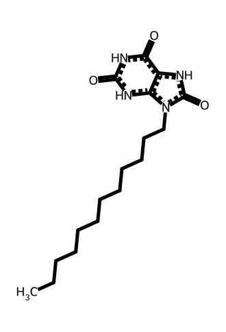 CCCCCCCCCCCCn1c(=O)[nH]c2c(=O)[nH]c(=O)[nH]c21